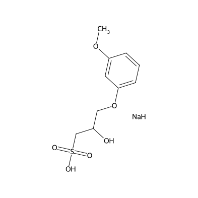 COc1cccc(OCC(O)CS(=O)(=O)O)c1.[NaH]